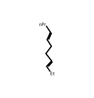 [CH2]CC=CCCC=CCCC